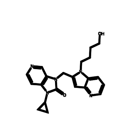 O=c1n(Cc2cc3ncccc3n2CCCCO)c2cnccc2n1C1CC1